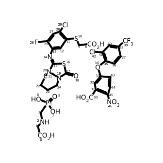 O=C(O)CNCP(=O)(O)O.O=C(O)CSc1cc(N=c2sc(=O)n3n2CCCC3)c(F)cc1Cl.O=C(O)c1cc(Oc2ccc(C(F)(F)F)cc2Cl)ccc1[N+](=O)[O-]